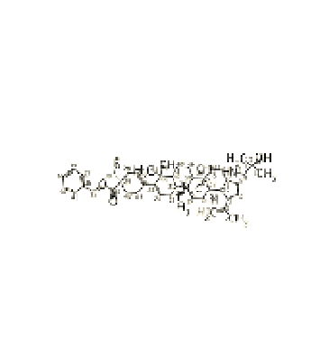 C=C(C)[C@@H]1CC[C@]2(NCC(C)(C)O)CC[C@]3(C)[C@H](CCC4[C@@]5(C)CC=C(C6=CC[C@](CF)(C(=O)OCc7ccccc7)CC6)C(C)(C)C5CC[C@]43C)C12